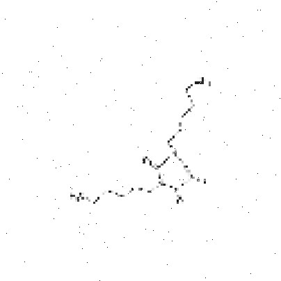 CCCCCCn1cc(F)c(=O)n(CCCCCC)c1=O